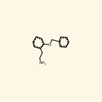 NCCc1ccccc1OCc1ccccc1